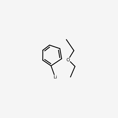 CCOCC.[Li][c]1ccccc1